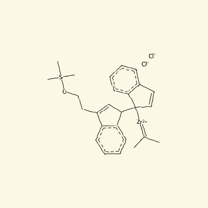 C[C](C)=[Zr+2][C]1(C2C=C(CCO[Si](C)(C)C)c3ccccc32)C=Cc2ccccc21.[Cl-].[Cl-]